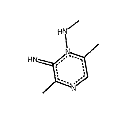 CNn1c(C)cnc(C)c1=N